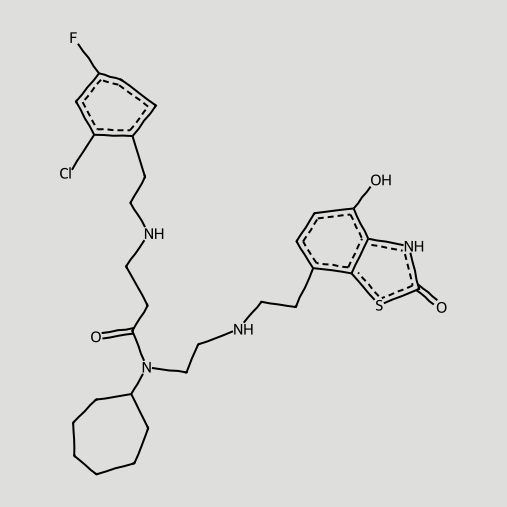 O=C(CCNCCc1ccc(F)cc1Cl)N(CCNCCc1ccc(O)c2[nH]c(=O)sc12)C1CCCCCC1